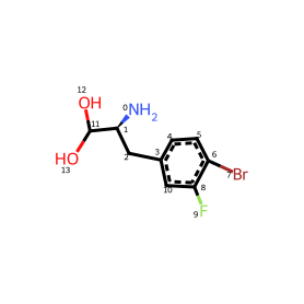 N[C@@H](Cc1ccc(Br)c(F)c1)C(O)O